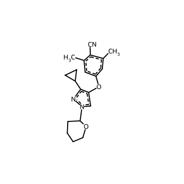 Cc1cc(Oc2cn(C3CCCCO3)nc2C2CC2)cc(C)c1C#N